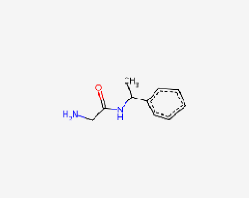 CC(NC(=O)CN)c1ccccc1